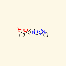 CC1CN(c2ccccn2)CCN1C1C(C)(C)C(O)(c2ccccc2)C1(C)C